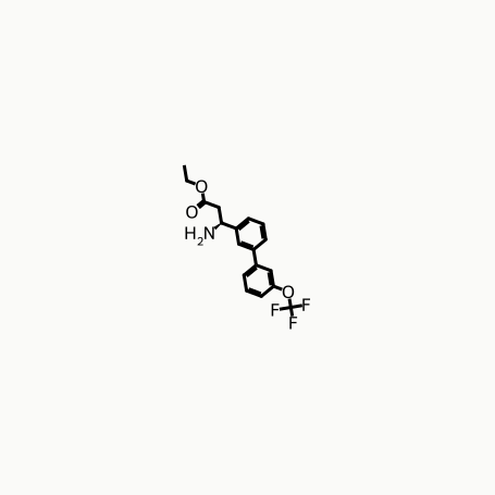 CCOC(=O)C[C@H](N)c1cccc(-c2cccc(OC(F)(F)F)c2)c1